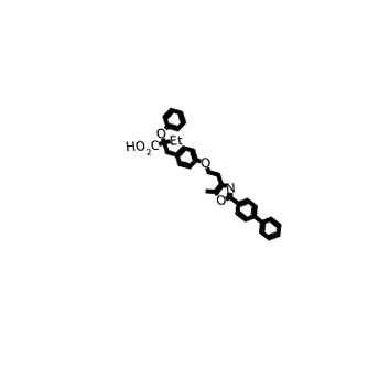 CCC(Cc1ccc(OCCc2nc(-c3ccc(-c4ccccc4)cc3)oc2C)cc1)(Oc1ccccc1)C(=O)O